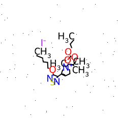 CCCCCCOc1nsnc1C1=CCC[N+](C)(C(OC(=O)OCCCC)C(C)C)C1.[I-]